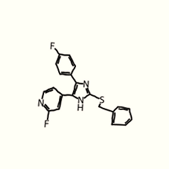 Fc1ccc(-c2nc(SCc3ccccc3)[nH]c2-c2ccnc(F)c2)cc1